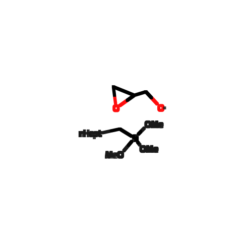 CCCCCCCC[Si](OC)(OC)OC.[O]CC1CO1